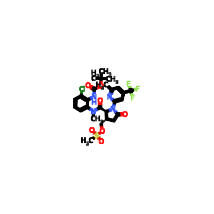 Cc1cc(C(F)(F)F)cc(N2C(=O)C[C@H](COS(C)(=O)=O)[C@H]2C(=O)N(C)c2cccc(Cl)c2NC(=O)OC(C)(C)C)n1